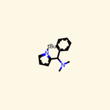 CN(C)C(c1ccccc1)c1cccn1C(C)(C)C